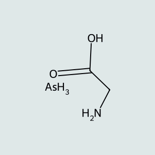 NCC(=O)O.[AsH3]